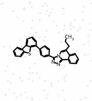 CCCc1cn2c(-c3ccc(-c4cccc5c4sc4ccccc45)cc3)nnc2c2ccccc12